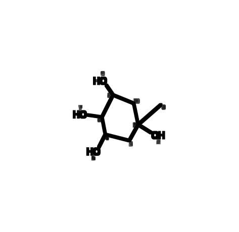 CC1(O)CC(O)C(O)C(O)C1